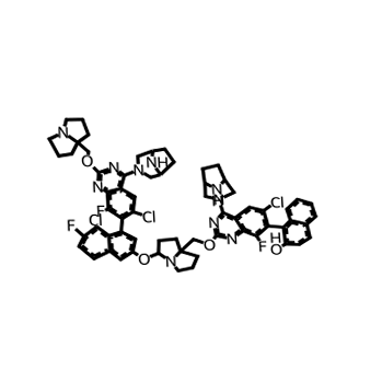 Oc1ccc2ccccc2c1-c1c(Cl)cc2c(N3CC4CCC(C3)N4)nc(OCC34CCCN3C(Oc3cc(-c5c(Cl)cc6c(N7CC8CCC(C7)N8)nc(OCC78CCCN7CCC8)nc6c5F)c5c(Cl)c(F)ccc5c3)CC4)nc2c1F